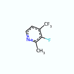 Cc1nccc(C(F)(F)F)c1F